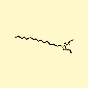 CCCCCCCCCCCCCCCCOP(=O)(NCC)OCC